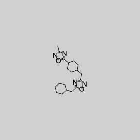 Cc1noc(C2CCC(Cc3noc(CC4CCCCC4)n3)CC2)n1